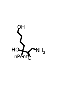 CCCCCC(O)(CCCCO)C(=O)CN